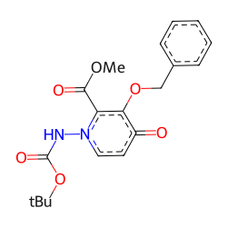 COC(=O)c1c(OCc2ccccc2)c(=O)ccn1NC(=O)OC(C)(C)C